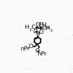 CCCOCC1(COCCC)CC=C(B2OC(C)(C)C(C)(C)O2)CC1